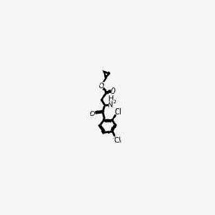 NC(CC(=O)OC1CC1)C(=O)c1ccc(Cl)cc1Cl